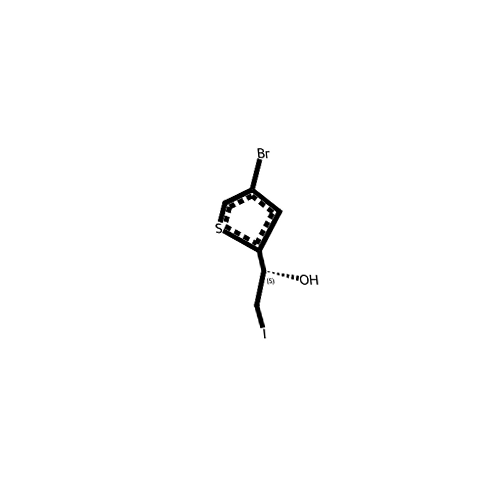 O[C@H](CI)c1cc(Br)cs1